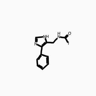 O=C(I)NCc1[nH]cnc1-c1ccccc1